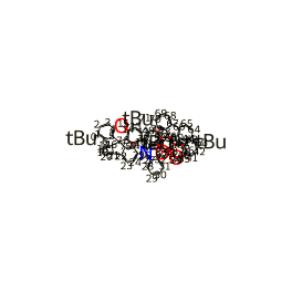 CC(C)(C)c1ccc2c(c1)C1(c3cc(C(C)(C)C)ccc3O2)c2ccccc2-c2ccc(N(c3ccccc3-c3cccc4c3oc3ccccc34)c3cccc4c3Oc3ccccc3C43c4cc(C(C)(C)C)ccc4-c4ccc(C(C)(C)C)cc43)cc21